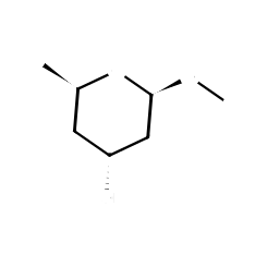 CO[C@H]1C[C@H](O)C[C@@H](C)O1